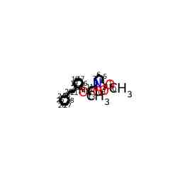 COC(=O)[C@@H]1CCCN1C(=O)CC(C)Oc1ccccc1/C=C/c1ccccc1